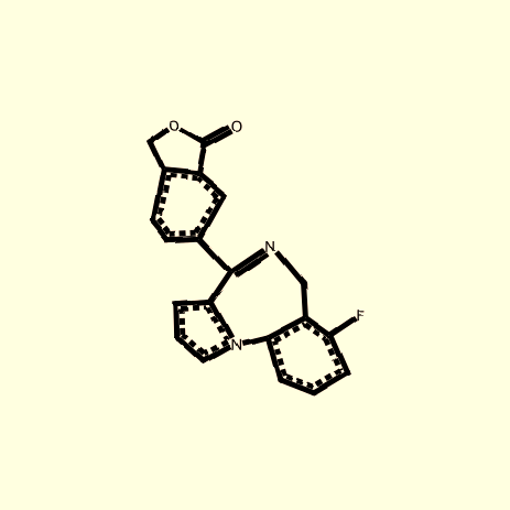 O=C1OCc2ccc(C3=NCc4c(F)cccc4-n4cccc43)cc21